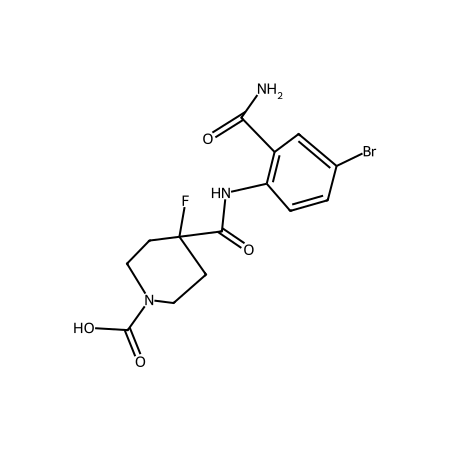 NC(=O)c1cc(Br)ccc1NC(=O)C1(F)CCN(C(=O)O)CC1